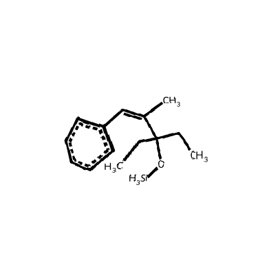 CCC(CC)(O[SiH3])C(C)=Cc1ccccc1